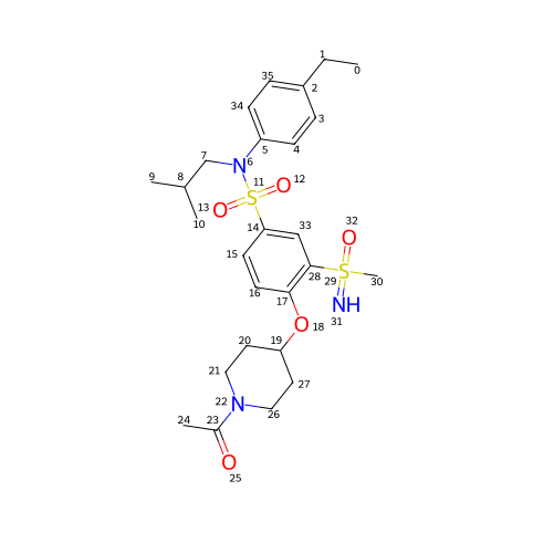 CCc1ccc(N(CC(C)C)S(=O)(=O)c2ccc(OC3CCN(C(C)=O)CC3)c(S(C)(=N)=O)c2)cc1